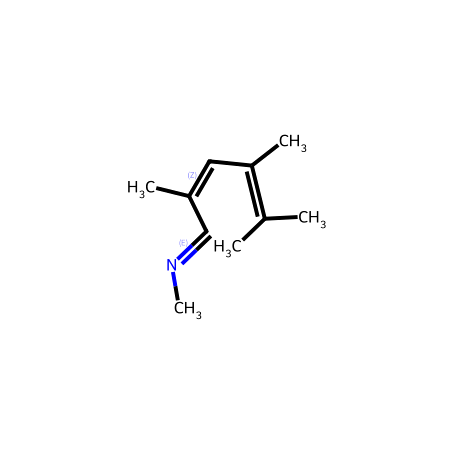 C/N=C/C(C)=C\C(C)=C(C)C